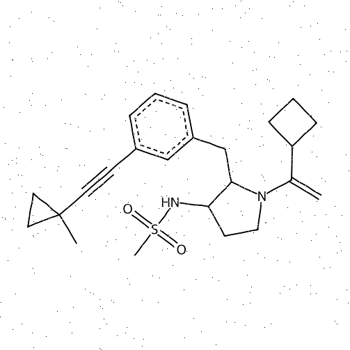 C=C(C1CCC1)N1CCC(NS(C)(=O)=O)C1Cc1cccc(C#CC2(C)CC2)c1